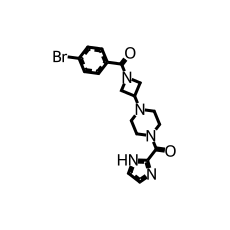 O=C(c1ccc(Br)cc1)N1CC(N2CCN(C(=O)c3ncc[nH]3)CC2)C1